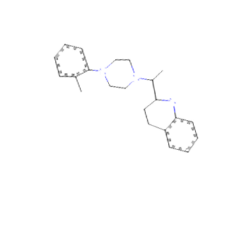 Cc1ccccc1N1CCN(C(C)C2CCc3ccccc3N2)CC1